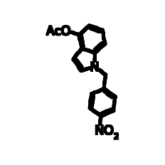 CC(=O)Oc1cccc2c1ccn2Cc1ccc([N+](=O)[O-])cc1